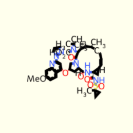 CC[C@@H]1C[C@H](C)CC/C=C\[C@@H]2C[C@@]2(C(=O)NS(=O)(=O)C2(C)CC2)NC(=O)[C@@H]2C[C@@H](Oc3cc(-n4cccn4)nc4cc(OC)ccc34)CN2C(=O)[C@H]1N(C(=O)O)C(C)(C)C(F)(F)F